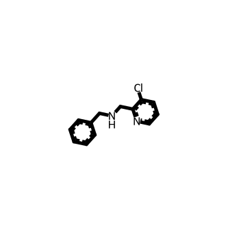 Clc1cccnc1CNCc1ccccc1